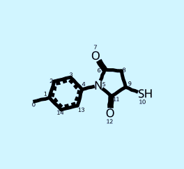 Cc1ccc(N2C(=O)CC(S)C2=O)cc1